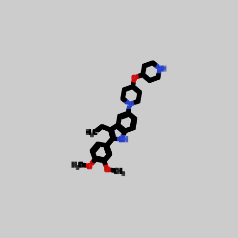 CCc1c(-c2ccc(OC)c(OC)c2)[nH]c2ccc(N3CCC(OC4CCNCC4)CC3)cc12